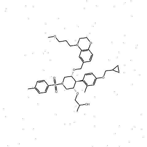 COCCCN1CCOc2ccc(CO[C@H]3CN(S(=O)(=O)c4ccc(C)cc4)C[C@@H](OCC(C)O)[C@@H]3c3ccc(OCC4CC4)cc3C)cc21